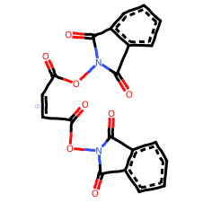 O=C(/C=C\C(=O)ON1C(=O)c2ccccc2C1=O)ON1C(=O)c2ccccc2C1=O